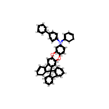 C1=CCCC(N(c2ccc(-c3ccccc3)cc2)c2ccc3c(c2)Oc2cc4c(cc2O3)C2(C3=C4C=CCC3)c3ccccc3-c3ccccc32)=C1